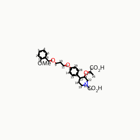 COc1ccccc1COCCCOc1ccc(C2CCN(C(=O)O)CC2O[C@@H](C)C(=O)O)cc1